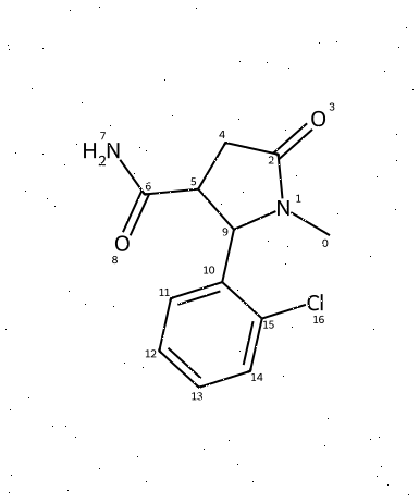 CN1C(=O)CC(C(N)=O)C1c1ccccc1Cl